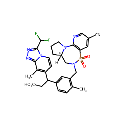 Cc1ccc(C(CC(=O)O)c2ccn3c(C(F)F)nnc3c2C)cc1CN1C[C@@H]2CCCN2c2ncc(C#N)cc2S1(=O)=O